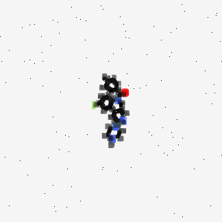 Cc1ccc(C(=O)N(Cc2ccc(N3CCN(C)CC3)nc2)c2ccc(F)cc2)cc1